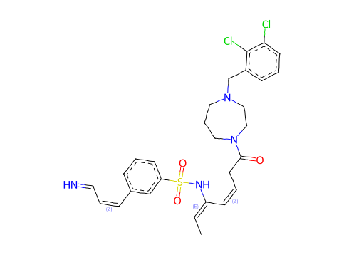 C/C=C(\C=C/CC(=O)N1CCCN(Cc2cccc(Cl)c2Cl)CC1)NS(=O)(=O)c1cccc(/C=C\C=N)c1